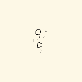 CC(=O)N1c2ccccc2[C@H](Nc2ccc(C#N)cc2)C[C@@H]1C